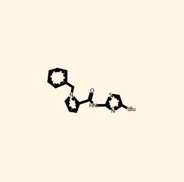 CC(C)(C)c1csc(NC(=O)c2cccn2Cc2ccccc2)n1